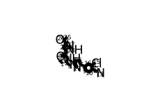 CC[C@@H](Cn1ccc(-c2ccc(C#N)c(Cl)c2)n1)NC(=O)c1cc(C(C)=O)n[nH]1